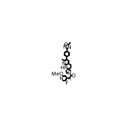 COc1cc([C@@H](C)C(=O)N2CC[C@@]3(CCc4cc(-c5ccc(-c6noc(C)n6)cc5)c(C)nc4N3)C2)c(F)cn1